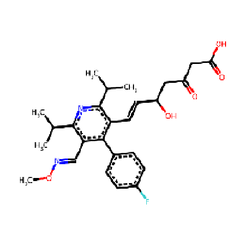 CON=Cc1c(C(C)C)nc(C(C)C)c(/C=C/C(O)CC(=O)CC(=O)O)c1-c1ccc(F)cc1